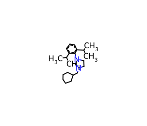 CC(C)c1cccc(C(C)C)c1N1CCN(CC2CCCCC2)C1